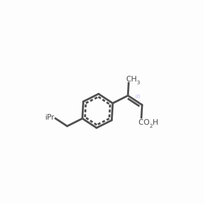 C/C(=C/C(=O)O)c1ccc(CC(C)C)cc1